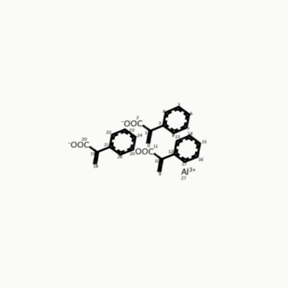 C=C(C(=O)[O-])c1ccccc1.C=C(C(=O)[O-])c1ccccc1.C=C(C(=O)[O-])c1ccccc1.[Al+3]